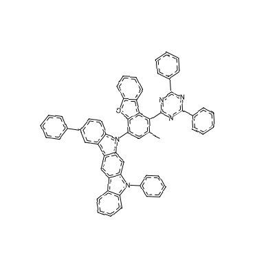 Cc1cc(-n2c3ccc(-c4ccccc4)cc3c3cc4c5ccccc5n(-c5ccccc5)c4cc32)c2oc3ccccc3c2c1-c1nc(-c2ccccc2)nc(-c2ccccc2)n1